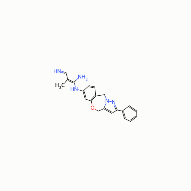 C/C(C=N)=C(/N)Nc1ccc2c(c1)OCc1cc(-c3ccccc3)nn1C2